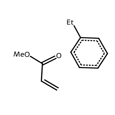 C=CC(=O)OC.CCc1ccccc1